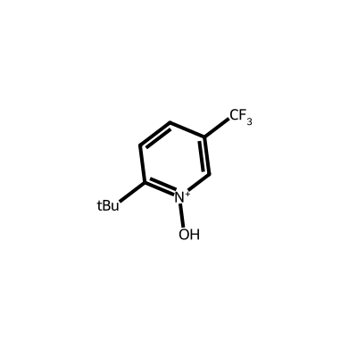 CC(C)(C)c1ccc(C(F)(F)F)c[n+]1O